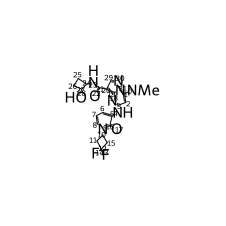 CNc1cc(Nc2cccn(C3CC(F)(F)C3)c2=O)nc2c(C(=O)NC3CC[C@@H]3O)cnn12